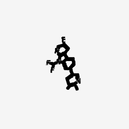 Cc1cc(-c2ccc3c4cc(F)cnc4n(C(F)F)c3c2)cnc1C